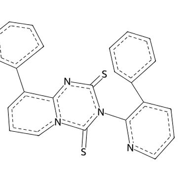 S=c1nc2c(-c3ccccc3)cccn2c(=S)n1-c1ncccc1-c1ccccc1